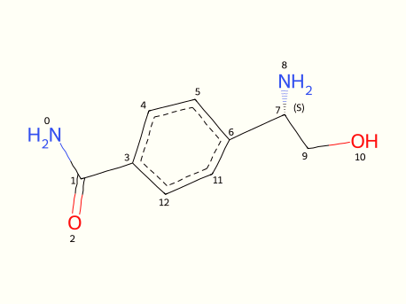 NC(=O)c1ccc([C@H](N)CO)cc1